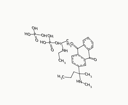 CCCC(C)(NC)c1ccc2c(c1)C(=O)c1ccccc1C2=O.CCNCC.O=P(O)(O)O.O=P(O)(O)O